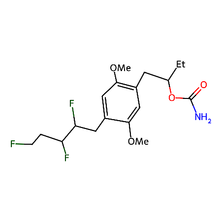 CCC(Cc1cc(OC)c(CC(F)C(F)CCF)cc1OC)OC(N)=O